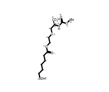 CCCCCCCCCCCCCCCC(=O)OCCSC[C@H](NC(=O)OC(C)(C)C)C(=O)O